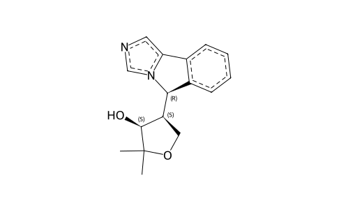 CC1(C)OC[C@H]([C@@H]2c3ccccc3-c3cncn32)[C@@H]1O